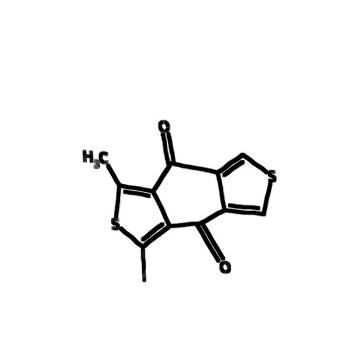 Cc1sc(I)c2c1C(=O)c1cscc1C2=O